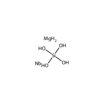 O[Si](O)(O)O.[MgH2].[Nb]